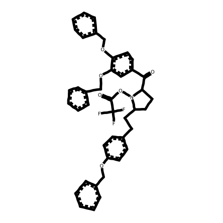 O=C(c1ccc(OCc2ccccc2)c(OCc2ccccc2)c1)C1CCC(CCc2ccc(OCc3ccccc3)cc2)N1OC(=O)C(F)(F)F